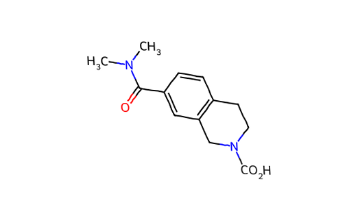 CN(C)C(=O)c1ccc2c(c1)CN(C(=O)O)CC2